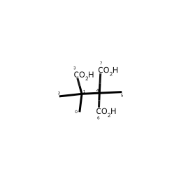 CC(C)(C(=O)O)C(C)(C(=O)O)C(=O)O